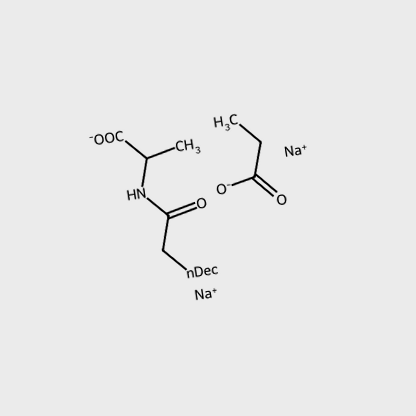 CCC(=O)[O-].CCCCCCCCCCCC(=O)NC(C)C(=O)[O-].[Na+].[Na+]